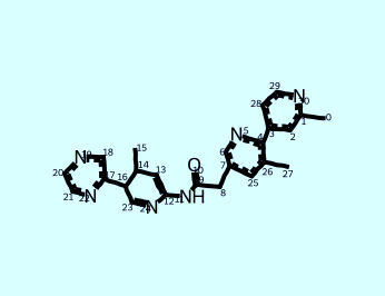 Cc1cc(-c2ncc(CC(=O)NC3=CC(C)C(c4cnccn4)C=N3)cc2C)ccn1